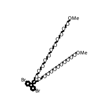 COCCOCCOCCOCCOCCOCCOCCOCCOCCOCCOCCOCCCC1(CCCOCCOCOCOCOCOCOCOCOCOCOCOC)c2cc(Br)ccc2-c2ccc(Br)cc21